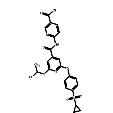 CC(C)Oc1cc(C(=O)Nc2ccc(C(=O)O)cn2)cc(Oc2ccc(S(=O)(=O)C3CC3)cc2)n1